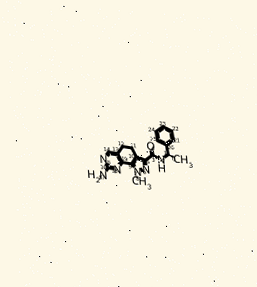 C[C@@H](NC(=O)c1nn(C)c2c1CCc1cnc(N)nc1-2)c1ccccc1